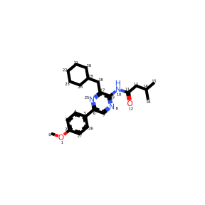 COc1ccc(-c2cnc(NC(=O)CC(C)C)c(CC3CCCCC3)n2)cc1